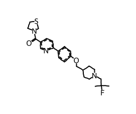 CC(C)(F)CN1CCC(COc2ccc(-c3ccc(C(=O)N4CCSC4)cn3)cc2)CC1